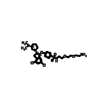 CN(C)[C@@H]1CCCN([C@H]2Cc3c(Cl)cc(Cl)cc3[C@@H]2Oc2ccc(S(=O)(=O)NCCOCCOCCN)cc2)C1